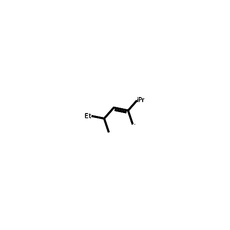 [CH2]C(=CC(C)CC)C(C)C